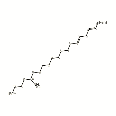 CCCCC/C=C/C/C=C/CCCCCCCCCC(N)CCCC(C)C